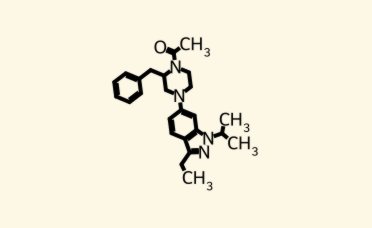 CCc1nn(C(C)C)c2cc(N3CCN(C(C)=O)C(Cc4ccccc4)C3)ccc12